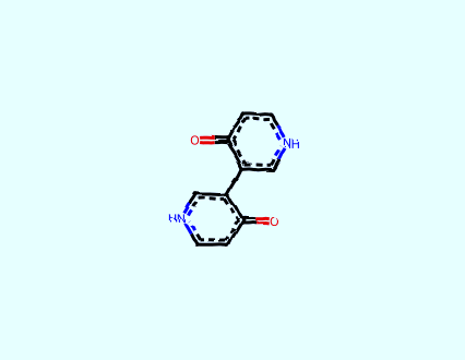 O=c1cc[nH]cc1-c1c[nH]ccc1=O